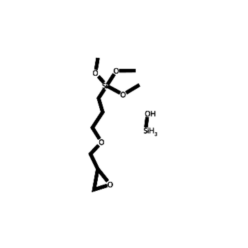 CO[Si](CCCOCC1CO1)(OC)OC.O[SiH3]